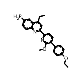 CCOc1ccc(-c2ccc(-c3cc(CC)c4cc(P)ccc4n3)nc2OC)cc1